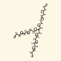 ICCOCCOCCOCC(COCCOCCOCCI)OCCOCCOCCI